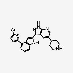 CC(=O)c1ccc(-c2nccc3[nH]c(-c4n[nH]c5ncc(C6CCNCC6)cc45)cc23)s1